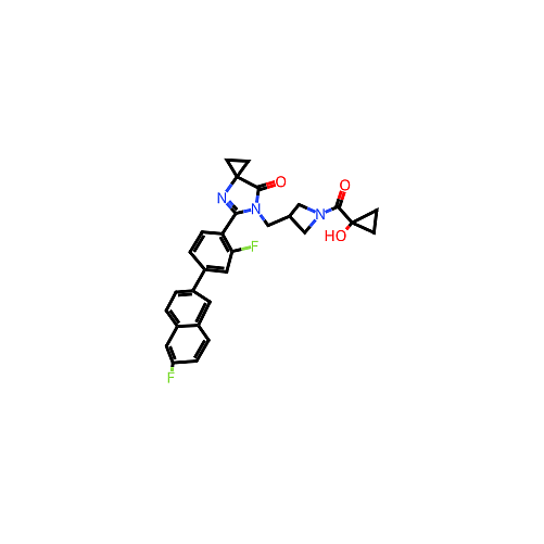 O=C(N1CC(CN2C(=O)C3(CC3)N=C2c2ccc(-c3ccc4cc(F)ccc4c3)cc2F)C1)C1(O)CC1